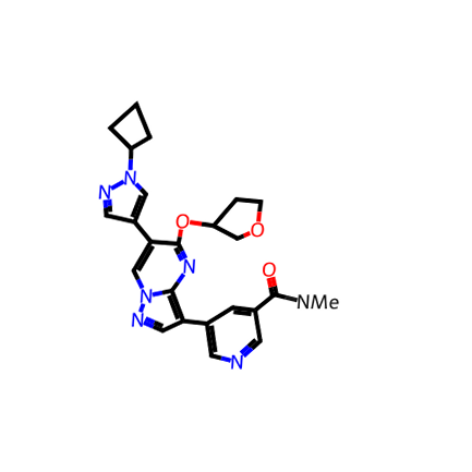 CNC(=O)c1cncc(-c2cnn3cc(-c4cnn(C5CCC5)c4)c(OC4CCOC4)nc23)c1